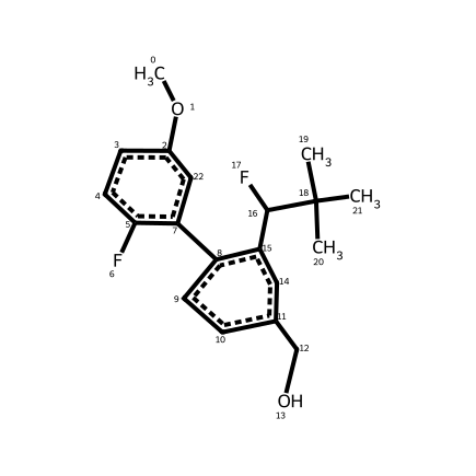 COc1ccc(F)c(-c2ccc(CO)cc2C(F)C(C)(C)C)c1